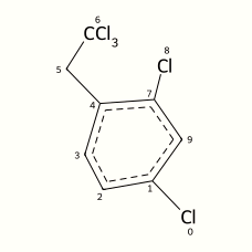 Clc1ccc(CC(Cl)(Cl)Cl)c(Cl)c1